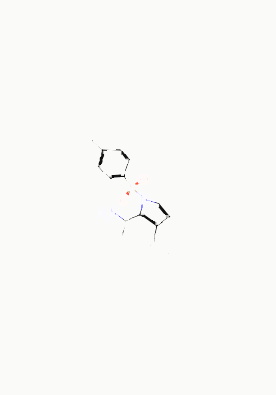 CC[C@@H](N)c1c(C(=O)O)ccn1S(=O)(=O)c1ccc(C)cc1